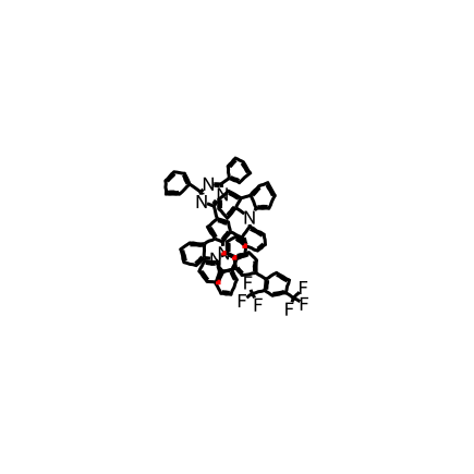 FC(F)(F)c1ccc(-c2ccc3c(c2)c2ccccc2n3-c2c(-c3ccccc3-n3c4ccccc4c4ccccc43)cc(-c3nc(-c4ccccc4)nc(-c4ccccc4)n3)cc2-c2ccccc2-n2c3ccccc3c3ccccc32)c(C(F)(F)F)c1